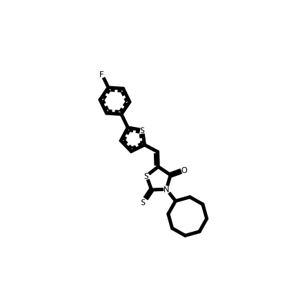 O=C1/C(=C/c2ccc(-c3ccc(F)cc3)s2)SC(=S)N1C1CCCCCCC1